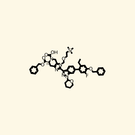 CCc1cc(OCc2ccccc2)c(F)cc1-c1ccc2c(-c3nc4c(n3COCC[Si](C)(C)C)CN(C(=O)O)[C@H](C(=O)OCc3ccccc3)C4)nn(C3CCCCO3)c2c1